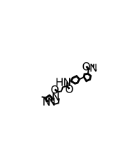 Cc1cc2n(n1)CCCN2C(=O)CCC(=O)Nc1ccc(-c2cccc(C(=O)N(C)C)c2)cc1